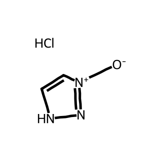 Cl.[O-][n+]1cc[nH]n1